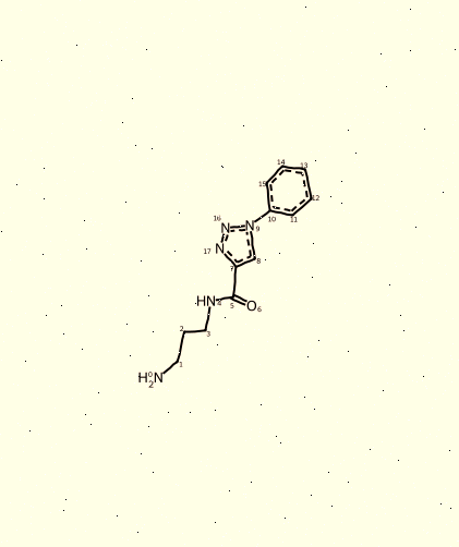 NCCCNC(=O)c1cn(-c2ccccc2)nn1